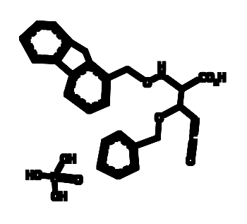 O=C=CC(OCc1ccccc1)C(NOCc1cccc2c1Cc1ccccc1-2)C(=O)O.O=P(O)(O)O